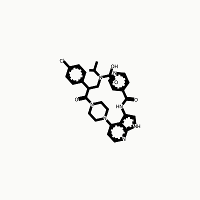 CC(C)N(CC(C(=O)N1CCN(c2ccnc3[nH]cc(NC(=O)c4ccncc4)c23)CC1)c1ccc(Cl)cc1)C(=O)O